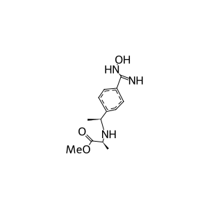 COC(=O)[C@H](C)N[C@@H](C)c1ccc(C(=N)NO)cc1